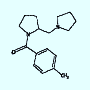 Cc1ccc(C(=O)N2CCCC2CN2CCCC2)cc1